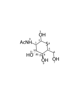 CC(=O)NC1C(O)SC(CO)[C@@H](O)[C@@H]1O